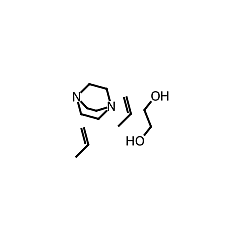 C1CN2CCN1CC2.C=CC.C=CC.OCCO